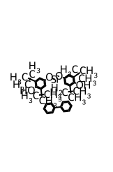 CC(C)(C)c1cc(O[SiH2]Oc2cc(C(C)(C)C)c(O)c(C(C)(C)C)c2)cc(C(C)(C)C)c1O.c1ccc(-c2ccccc2)cc1